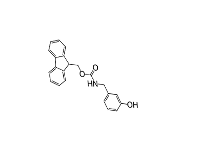 O=C(NCc1cccc(O)c1)OCC1c2ccccc2-c2ccccc21